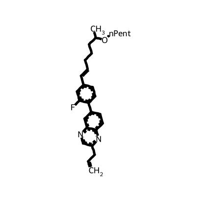 C=CCc1cnc2cc(-c3ccc(C=CCCCC(C)OCCCCC)cc3F)ccc2n1